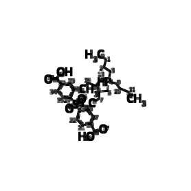 CCCC[PH](CCCC)(CCCC)CCCC.O=C(O)c1ccc(S(=O)(=O)c2ccc(C(=O)O)cc2)cc1